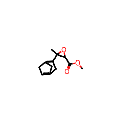 COC(=O)C1OC1(C)C1CC2=CCC1C2